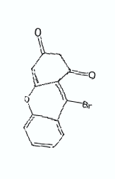 O=C1C=C2Oc3ccccc3C(Br)=C2C(=O)C1